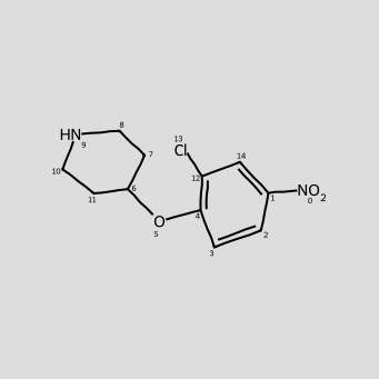 O=[N+]([O-])c1ccc(OC2CCNCC2)c(Cl)c1